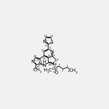 CCCC[SH](C)(=O)c1sc2nc(-c3nccs3)cc3c2c1[nH]n1c(C)ncc31